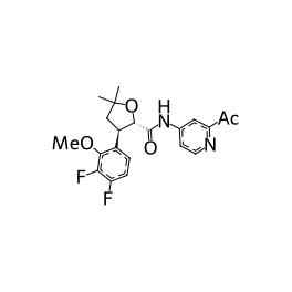 COc1c([C@H]2CC(C)(C)O[C@@H]2C(=O)Nc2ccnc(C(C)=O)c2)ccc(F)c1F